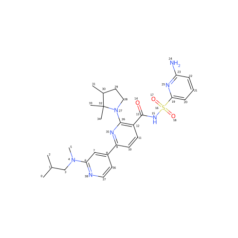 CC(C)CN(C)c1cc(-c2ccc(C(=O)NS(=O)(=O)c3cccc(N)n3)c(N3CCC(C)C3(C)C)n2)ccn1